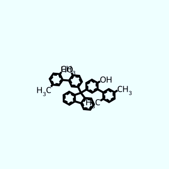 Cc1ccc(C)c(-c2cc(C3(c4ccc(O)c(-c5cc(C)ccc5C)c4)c4ccccc4-c4ccccc43)ccc2O)c1